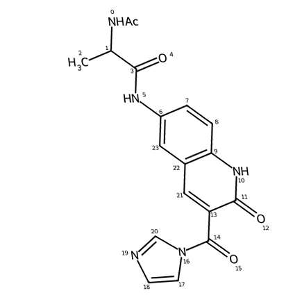 CC(=O)NC(C)C(=O)Nc1ccc2[nH]c(=O)c(C(=O)n3ccnc3)cc2c1